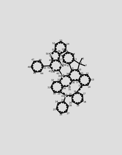 CC1(C)c2ccccc2-c2c1c1cccc3c4ccccc4n(-c4ccccc4)c4cccc5c4sc(c13)c2n5-c1nc(-c2ccccc2)c2sc3ccccc3c2n1